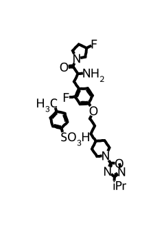 CC(C)c1noc(N2CCC(CCCOc3ccc(CC(N)C(=O)N4CCC(F)C4)c(F)c3)CC2)n1.Cc1ccc(S(=O)(=O)O)cc1